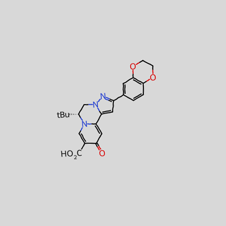 CC(C)(C)[C@@H]1Cn2nc(-c3ccc4c(c3)OCCO4)cc2-c2cc(=O)c(C(=O)O)cn21